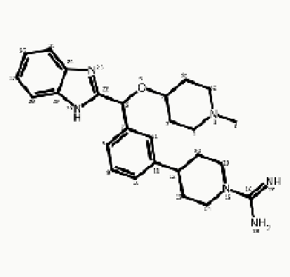 CN1CCC(OC(c2cccc(C3CCN(C(=N)N)CC3)c2)c2nc3ccccc3[nH]2)CC1